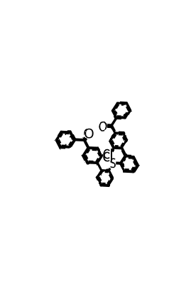 O=C(c1ccccc1)c1ccc(-c2ccccc2Sc2ccccc2-c2ccc(C(=O)c3ccccc3)cc2Cl)c(Cl)c1